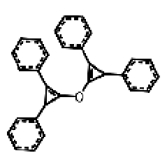 c1ccc(C2=C(OC3=C(c4ccccc4)C3c3ccccc3)C2c2ccccc2)cc1